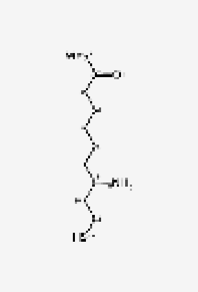 CSC(=O)CCCCCC(N)CCS